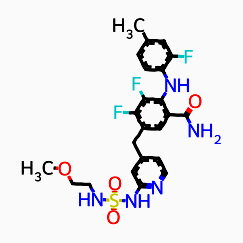 COCCNS(=O)(=O)Nc1cc(Cc2cc(C(N)=O)c(Nc3ccc(C)cc3F)c(F)c2F)ccn1